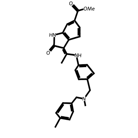 COC(=O)c1ccc2c(c1)NC(=O)C2=C(C)Nc1ccc(CN(C)Cc2ccc(C)cc2)cc1